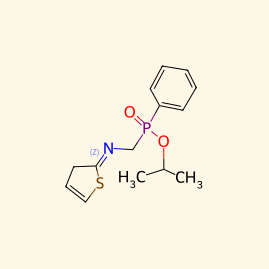 CC(C)OP(=O)(C/N=C1/CC=CS1)c1ccccc1